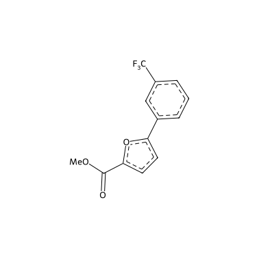 COC(=O)c1ccc(-c2cccc(C(F)(F)F)c2)o1